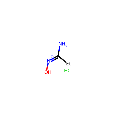 CC/C(N)=N\O.Cl